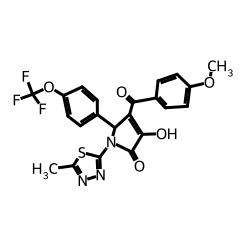 COc1ccc(C(=O)C2=C(O)C(=O)N(c3nnc(C)s3)C2c2ccc(OC(F)(F)F)cc2)cc1